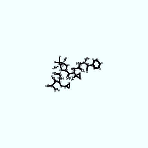 CC(C)[C@H](NC(=O)N[C@H](C(=O)N1C[C@H]2[C@@H]([C@H]1C(=O)NC(CC1CC1)C(=O)C(N)=O)C2(C)C)C1(C(F)(F)F)CC1)C(=O)c1ccccc1